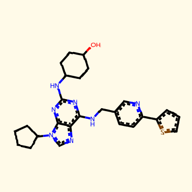 OC1CCC(Nc2nc(NCc3ccc(-c4cccs4)nc3)c3ncn(C4CCCC4)c3n2)CC1